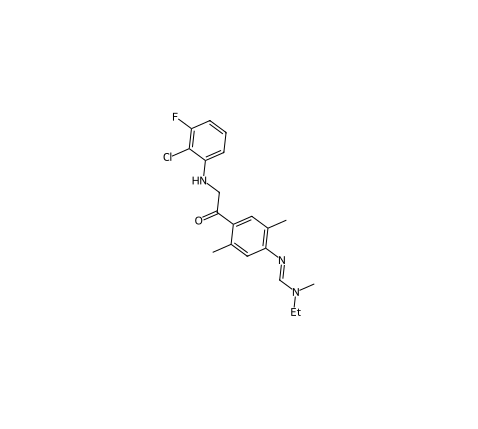 CCN(C)C=Nc1cc(C)c(C(=O)CNc2cccc(F)c2Cl)cc1C